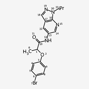 CC(Oc1ccc(Br)cc1)C(=O)Nc1cnc2c(cnn2C(C)C)c1